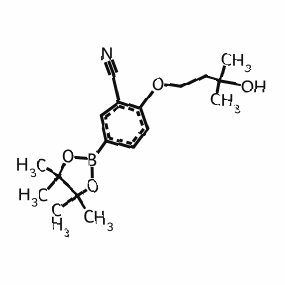 CC(C)(O)CCOc1ccc(B2OC(C)(C)C(C)(C)O2)cc1C#N